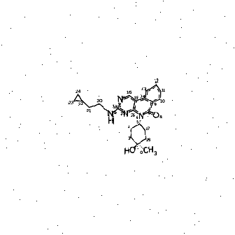 C[C@]1(O)CC[C@H](n2c(=O)c3ccccc3c3cnc(NCCC4CC4)nc32)CC1